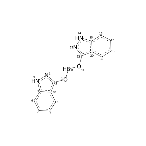 B(Oc1n[nH]c2ccccc12)Oc1n[nH]c2ccccc12